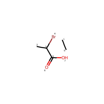 CC.CC(Br)C(=O)O